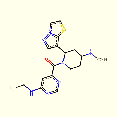 O=C(O)NC1CCN(C(=O)c2cc(NCC(F)(F)F)ncn2)C(c2cnn3ccsc23)C1